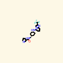 O=C(NC[C@H]1CC[C@@H](Nc2cccc3nc(C(F)(F)F)cn23)CC1)c1cccnc1